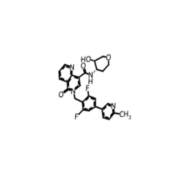 Cc1ccc(-c2cc(F)c(Cn3cc(C(=O)N[C@H]4CCOC[C@@H]4O)c4ncccc4c3=O)c(F)c2)cn1